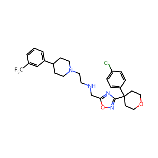 FC(F)(F)c1cccc(C2CCN(CCNCc3nc(C4(c5ccc(Cl)cc5)CCOCC4)no3)CC2)c1